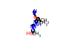 CC(C)c1ccc(OCCn2ccnc2)c2cnc(Nc3ccnc(N4CC[C@@](C)(O)[C@@H](F)C4)n3)cc12